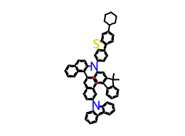 CC1(C)c2ccccc2-c2ccc(N(c3ccc4c(c3)sc3cc(C5CCCCC5)ccc34)c3ccc4ccccc4c3-c3ccc4cc(-n5c6ccccc6c6ccccc65)ccc4c3)cc21